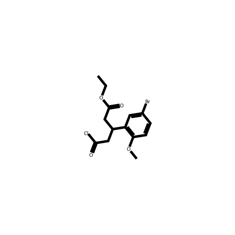 CCOC(=O)CC(CC(=O)Cl)c1cc(Br)ccc1OC